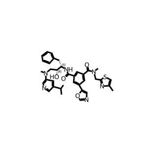 Cc1csc(CN(C)C(=O)c2cc(C(=O)N[C@@H](Cc3ccccc3)[C@H](O)CN(C)c3cncc(C(C)C)c3)cc(-c3cnco3)c2)n1